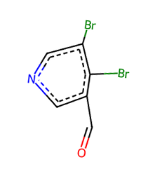 O=Cc1cncc(Br)c1Br